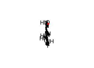 N=S1(=O)CCN(CCC#Cc2ccc3c(Nc4cc(CC(=O)Nc5cccc(F)c5)[nH]n4)ncnc3c2)CC1